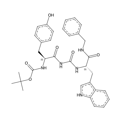 CC(C)(C)OC(=O)N[C@@H](Cc1ccc(O)cc1)C(=O)NC(=O)N[C@@H](Cc1c[nH]c2ccccc12)C(=O)NCc1ccccc1